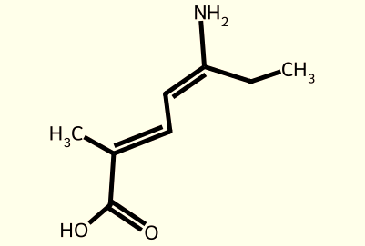 CC/C(N)=C\C=C(/C)C(=O)O